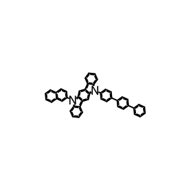 c1ccc(-c2ccc(-c3ccc(-n4c5ccccc5c5cc6c(cc54)c4ccccc4n6-c4ccc5ccccc5c4)cc3)cc2)cc1